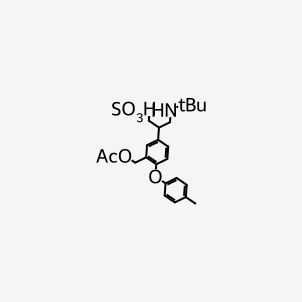 CC(=O)OCc1cc(C(CNC(C)(C)C)CS(=O)(=O)O)ccc1Oc1ccc(C)cc1